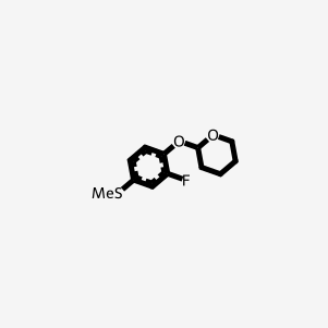 CSc1ccc(OC2CCCCO2)c(F)c1